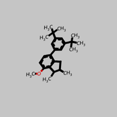 COc1ccc(-c2cc(C(C)(C)C)cc(C(C)(C)C)c2)c2c1C(C)C(C)C2